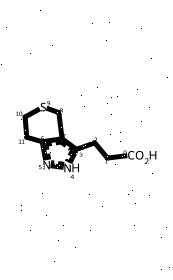 O=C(O)CCc1[nH]nc2c1CSCC2